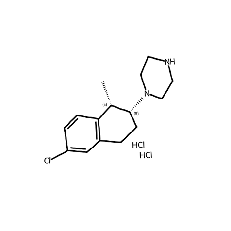 C[C@H]1c2ccc(Cl)cc2CC[C@H]1N1CCNCC1.Cl.Cl